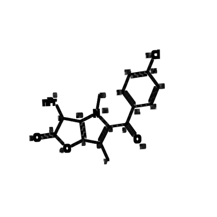 CCCC1C(=O)Oc2c(C)c(C(=O)c3ccc(Cl)cc3)n(C)c21